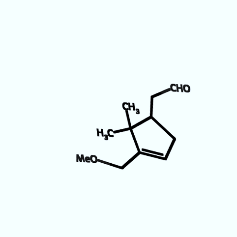 COCC1=CCC(CC=O)C1(C)C